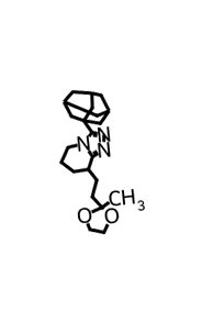 CC1(CCC2CCCn3c2nnc3C23CC4CC(CC(C4)C2)C3)OCCO1